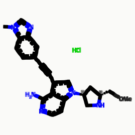 COC[C@H]1C[C@H](n2cc(C#Cc3ccc4c(c3)ncn4C)c3c(N)nccc32)CN1.Cl